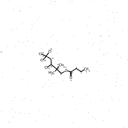 CCCC(=O)OCC(C)(C)C(Cl)CC(Cl)(Cl)Cl